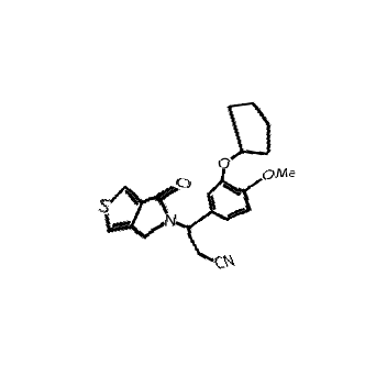 COc1ccc(C(CC#N)N2Cc3cscc3C2=O)cc1OC1CCCC1